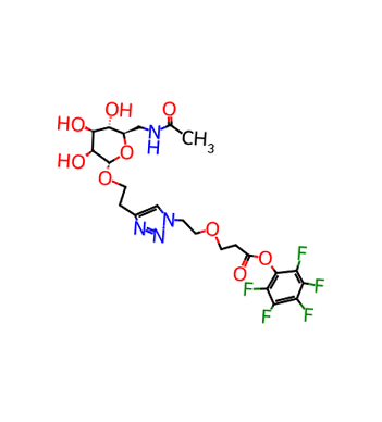 CC(=O)NC[C@H]1O[C@H](OCCc2cn(CCOCCC(=O)Oc3c(F)c(F)c(F)c(F)c3F)nn2)[C@@H](O)[C@@H](O)[C@@H]1O